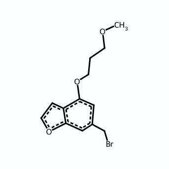 COCCCOc1cc(CBr)cc2occc12